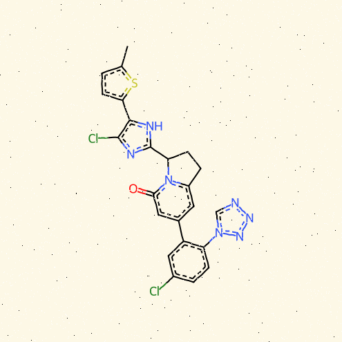 Cc1ccc(-c2[nH]c(C3CCc4cc(-c5cc(Cl)ccc5-n5cnnn5)cc(=O)n43)nc2Cl)s1